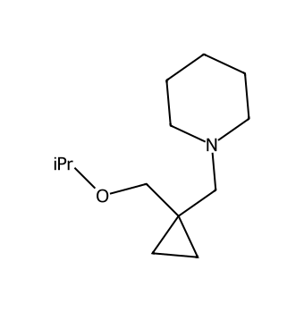 CC(C)OCC1(CN2CCCCC2)CC1